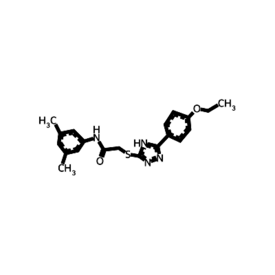 CCOc1ccc(-c2nnc(SCC(=O)Nc3cc(C)cc(C)c3)[nH]2)cc1